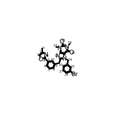 Cc1coc(-c2cccc(Cc3nc4c(c(=O)n(C)c(=O)n4C)n3Cc3cccc(Br)c3)c2)n1